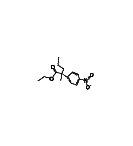 CCCC(C)(C(=O)OCC)c1ccc([N+](=O)[O-])cc1